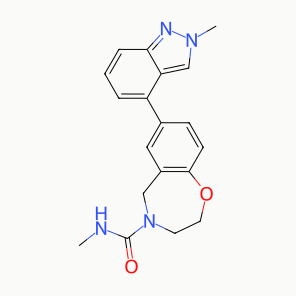 CNC(=O)N1CCOc2ccc(-c3cccc4nn(C)cc34)cc2C1